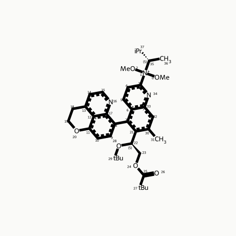 CO[N+](OC)(c1ccc2c(-c3ccc4c5c(ccnc35)CCO4)c([C@@H](COC(=O)C(C)(C)C)OC(C)(C)C)c(C)cc2n1)[C@@H](C)C(C)C